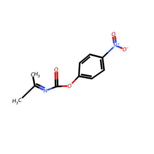 CC(C)=NC(=O)Oc1ccc([N+](=O)[O-])cc1